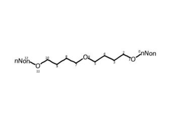 CCCCCCCCCOCCCCOCCCCOCCCCCCCCC